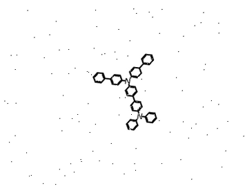 C1=CC(c2ccccc2)CC=C1N(c1ccc(-c2ccccc2)cc1)c1ccc(-c2ccc(N(c3ccccc3)c3ccccc3)cc2)cc1